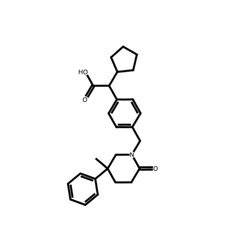 CC1(c2ccccc2)CCC(=O)N(Cc2ccc(C(C(=O)O)C3CCCC3)cc2)C1